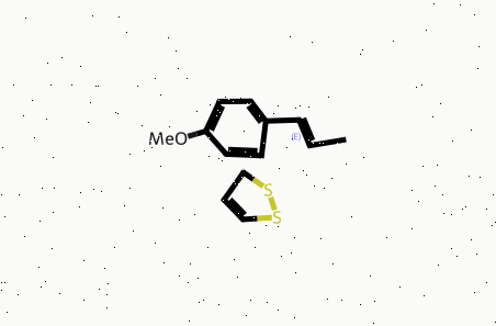 C/C=C/c1ccc(OC)cc1.C1=CSSC1